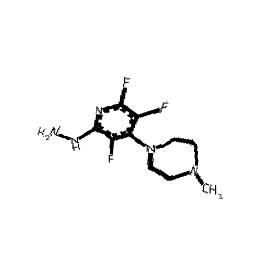 CN1CCN(c2c(F)c(F)nc(NN)c2F)CC1